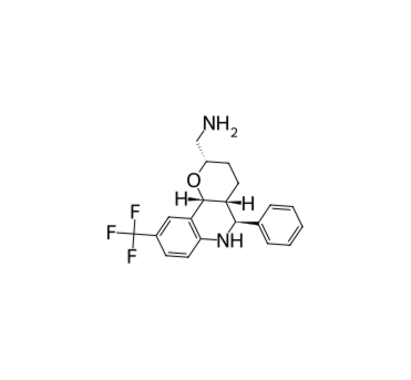 NC[C@@H]1CC[C@@H]2[C@@H](c3ccccc3)Nc3ccc(C(F)(F)F)cc3[C@@H]2O1